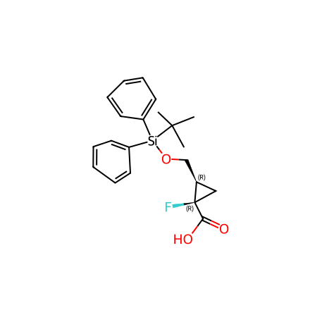 CC(C)(C)[Si](OC[C@H]1C[C@]1(F)C(=O)O)(c1ccccc1)c1ccccc1